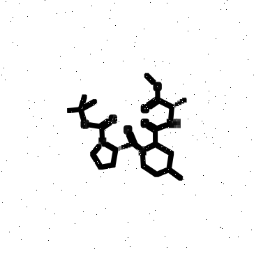 COC(=O)[C@H](C)NC(=O)C1CC(C)CCN1C(=O)[C@@H]1CCCN1C(=O)OC(C)(C)C